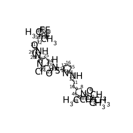 CC(C)(C)OC(=O)N1CC(CCCNc2cccc(SNC(=O)c3ccc(N4C=CC(OCCC(C)(C)C(F)(F)F)N4)nc3Cl)n2)CC1(C)C